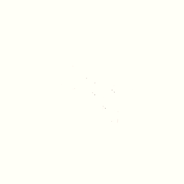 Cc1cc(Cl)nc(NCC2CCCCC2)n1